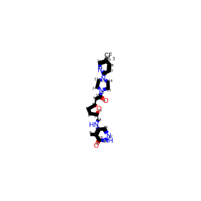 Cc1c(NC[C@@H]2CC[C@@H](CC(=O)N3CCN(c4ccc(C(F)(F)F)cn4)CC3)O2)cn[nH]c1=O